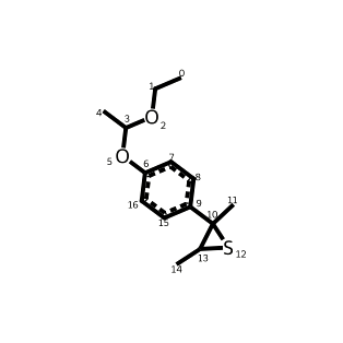 CCOC(C)Oc1ccc(C2(C)SC2C)cc1